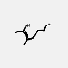 CCCCCCCC(C)=C(C)O